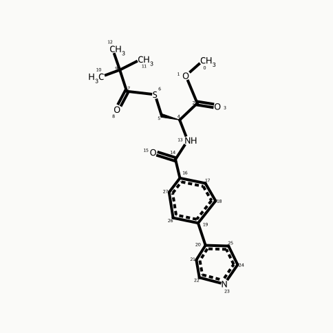 COC(=O)[C@H](CSC(=O)C(C)(C)C)NC(=O)c1ccc(-c2ccncc2)cc1